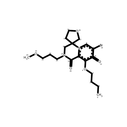 CCCCOc1c2n(cc(Br)c1=O)C1(CCOC1)CN(CCCOC)C2=O